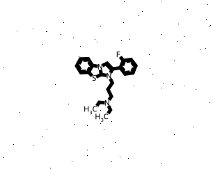 CCN(CC)CCCN1C(c2ccccc2F)=CN2c3ccccc3SC12